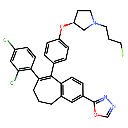 FCCCN1CC[C@H](Oc2ccc(C3=C(c4ccc(Cl)cc4Cl)CCCc4cc(-c5nnco5)ccc43)cc2)C1